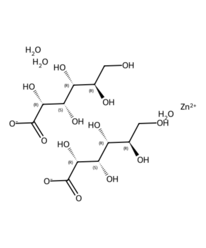 O.O.O.O=C([O-])[C@H](O)[C@@H](O)[C@H](O)[C@H](O)CO.O=C([O-])[C@H](O)[C@@H](O)[C@H](O)[C@H](O)CO.[Zn+2]